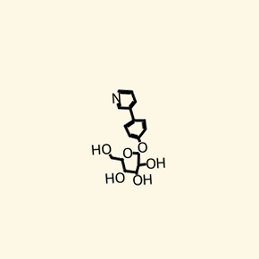 OCC1OC(Oc2ccc(-c3cccnc3)cc2)C(O)C(O)C1O